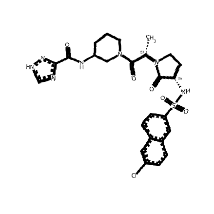 C[C@@H](C(=O)N1CCCC(NC(=O)c2nc[nH]n2)C1)N1CC[C@H](NS(=O)(=O)c2ccc3cc(Cl)ccc3c2)C1=O